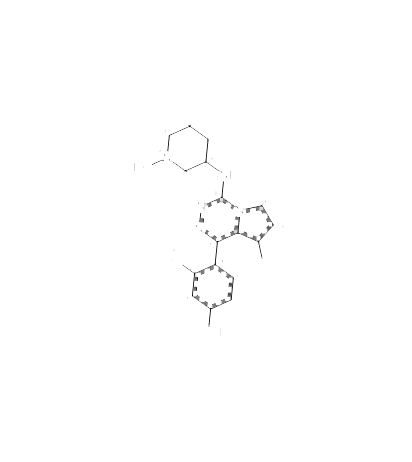 Cc1ccc(-c2nnc(NC3CCCN(C)C3)n3ccc(F)c23)c(O)c1